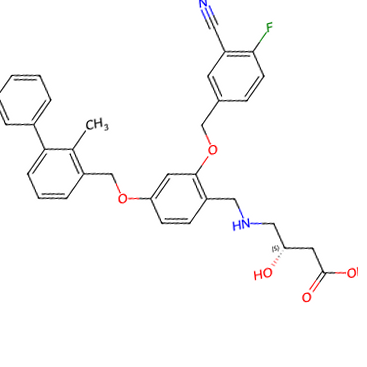 Cc1c(COc2ccc(CNC[C@@H](O)CC(=O)O)c(OCc3ccc(F)c(C#N)c3)c2)cccc1-c1ccccc1